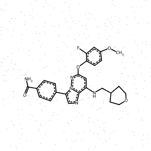 COc1ccc(Oc2cc(NCC3CCOCC3)c3ncc(-c4ccc(C(N)=O)cc4)n3n2)c(F)c1